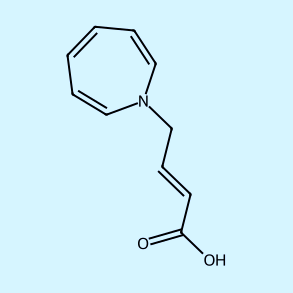 O=C(O)C=CCN1C=CC=CC=C1